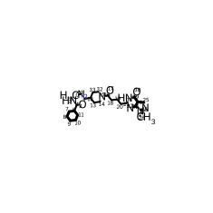 C/N=C(\OC(=N)c1ccccc1)C1CCN(C(=O)CCCc2nc3c(cnn3C)c(=O)[nH]2)CC1